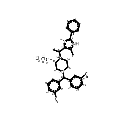 Cc1[nH]c(-c2ccccc2)nc1C(C)N1CCN(C(c2cccc(Cl)c2)c2cccc(Cl)c2)CC1.Cl.Cl.Cl